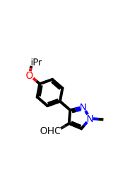 CC(C)Oc1ccc(-c2nn(C)cc2C=O)cc1